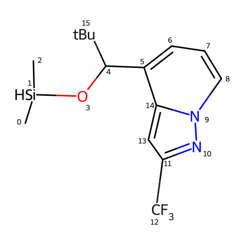 C[SiH](C)OC(c1cccn2nc(C(F)(F)F)cc12)C(C)(C)C